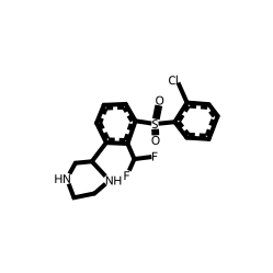 O=S(=O)(c1ccccc1Cl)c1cccc(C2CNCCN2)c1C(F)F